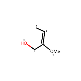 CC=C(CO)OC